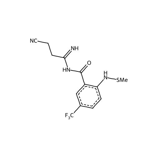 CSNc1ccc(C(F)(F)F)cc1C(=O)NC(=N)CCC#N